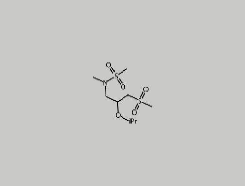 CC(C)OC(CN(C)S(C)(=O)=O)CS(C)(=O)=O